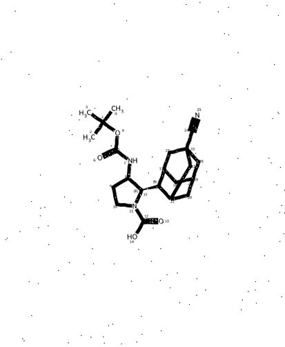 CC(C)(C)OC(=O)NC1CCN(C(=O)O)[C@@H]1C1C2CC3CC1CC(C#N)(C3)C2